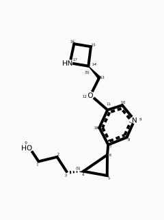 OCCC[C@H]1CC1c1cncc(OC[C@@H]2CCN2)c1